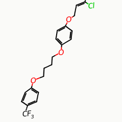 FC(F)(F)c1ccc(OCCCCOc2ccc(OCC=C(Cl)Cl)cc2)cc1